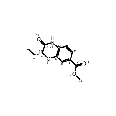 CC[C@H]1Oc2cc(C(=O)OC)ccc2NC1=O